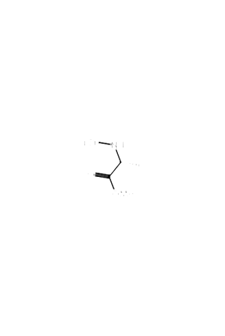 CCCN[C@H](C)C(=O)OC